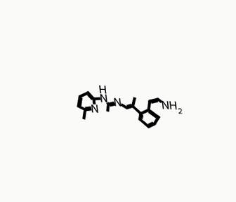 C/C(=C\N=C(/C)Nc1cccc(C)n1)c1ccccc1/C=C\N